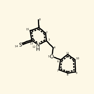 Cc1cc(COc2ccccc2)[nH]c(=S)c1